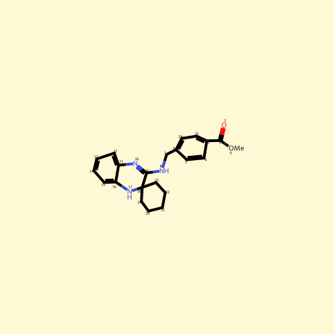 COC(=O)c1ccc(CNC2=Nc3ccccc3NC23CCCCC3)cc1